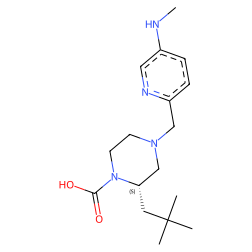 CNc1ccc(CN2CCN(C(=O)O)[C@@H](CC(C)(C)C)C2)nc1